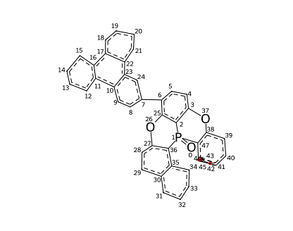 O=P12c3c(ccc(-c4ccc5c6ccccc6c6ccccc6c5c4)c3Oc3ccc4ccccc4c31)Oc1ccc3ccccc3c12